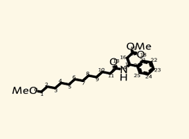 COCCCCCCCCCCCC(=O)NC(CC(=O)OC)c1ccccc1